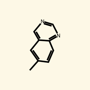 Cc1ccc2ncncc2c1